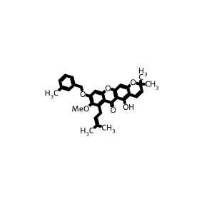 COc1c(OCc2cccc(C)c2)cc2oc3cc4c(c(O)c3c(=O)c2c1CC=C(C)C)C=CC(C)(C)O4